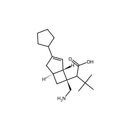 CC(C)(C)C(C(=O)O)[C@]1(CN)C[C@H]2CC(C3CCCC3)=C[C@@H]21